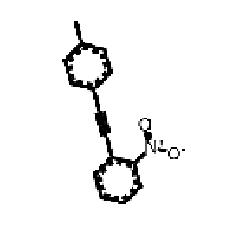 Cc1ccc(C#Cc2ccccc2[N+](=O)[O-])cc1